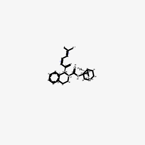 C=C(/C=C\C=C(/C)F)[C@@H]1c2ccccc2CCN1C(=O)O[C@@H]1CN2CCC1CC2